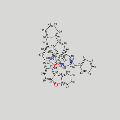 C=N/C(=N\C(=N/Cc1ccccc1)c1ccc2c(ccc3ccccc32)c1)c1cccc2oc3cccc(-c4cccc5c4oc4ccccc45)c3c12